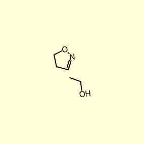 C1=NOCC1.CCO